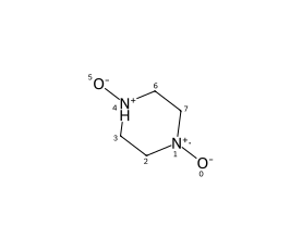 [O-][N+]1CC[NH+]([O-])CC1